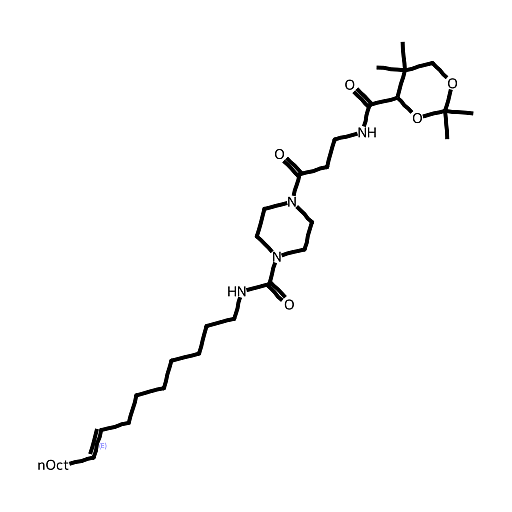 CCCCCCCC/C=C/CCCCCCCNC(=O)N1CCN(C(=O)CCNC(=O)C2OC(C)(C)OCC2(C)C)CC1